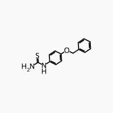 NC(=S)Nc1ccc(OCc2ccccc2)cc1